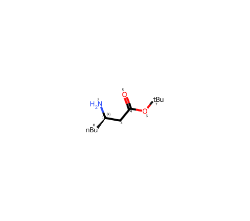 CCCC[C@@H](N)CC(=O)OC(C)(C)C